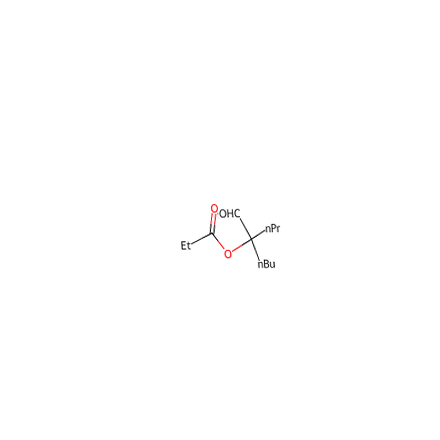 CCCCC([C]=O)(CCC)OC(=O)CC